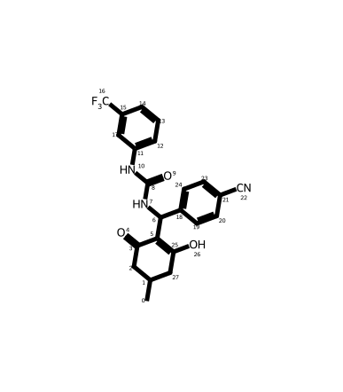 CC1CC(=O)C(C(NC(=O)Nc2cccc(C(F)(F)F)c2)c2ccc(C#N)cc2)=C(O)C1